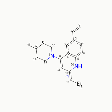 C=Cc1ccc2c(c1)C(N1CCC(C)CC1)=C/C(=C/CC)N2